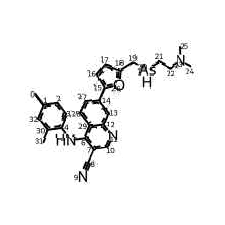 Cc1ccc(Nc2c(C#N)cnc3cc(-c4ccc(C[AsH]CCN(C)C)o4)ccc23)c(C)c1